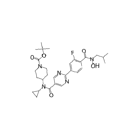 CC(C)CN(O)C(=O)c1ccc(-c2ncc(C(=O)N(C3CC3)C3CCN(C(=O)OC(C)(C)C)CC3)cn2)cc1F